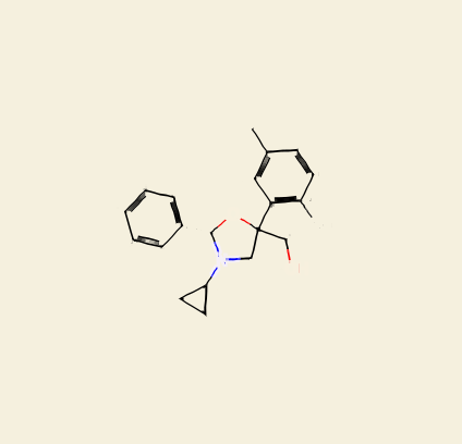 Cc1ccc(S(=O)(=O)O)c(C2(CO)CN(C3CC3)[C@H](c3ccccc3)O2)c1